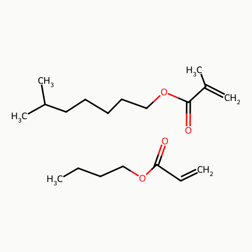 C=C(C)C(=O)OCCCCCC(C)C.C=CC(=O)OCCCC